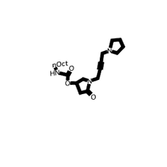 CCCCCCCCNC(=O)OC1CC(=O)N(CC#CCN2CCCC2)C1